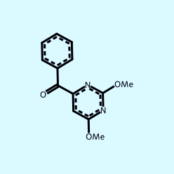 COc1cc(C(=O)c2ccccc2)nc(OC)n1